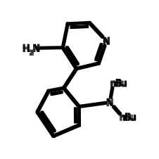 CCCCN(CCCC)c1ccccc1-c1cnccc1N